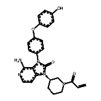 C=CC(=O)N1CCC[C@@H](n2c(=O)n(-c3ccc(Oc4ccc(O)cc4)cc3)c3c(N)nccc32)C1